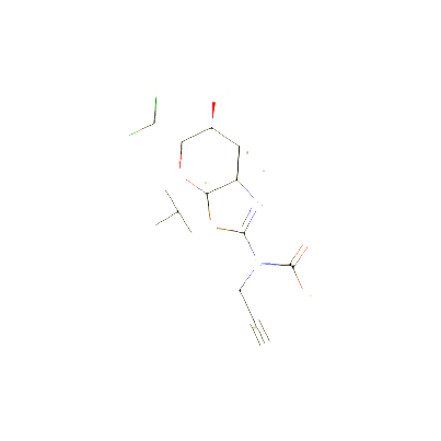 C#CCN(C(=O)O)C1=N[C@@H]2[C@@H](O)[C@H](O)[C@@H](C(F)F)O[C@]2(C(C)(C)C)S1